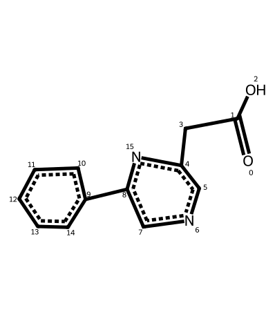 O=C(O)Cc1cncc(-c2ccccc2)n1